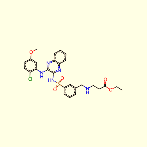 CCOC(=O)CCNCc1cccc(S(=O)(=O)Nc2nc3ccccc3nc2Nc2cc(OC)ccc2Cl)c1